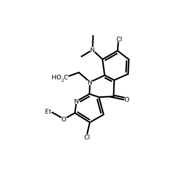 CCOc1nc2c(cc1Cl)c(=O)c1ccc(Cl)c(N(C)C)c1n2CC(=O)O